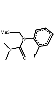 CSCN(C(=O)N(C)C)c1ccccc1F